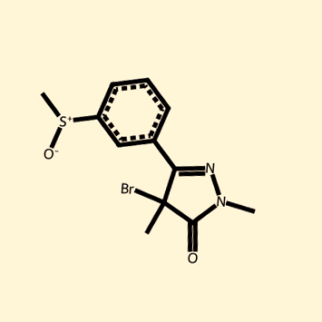 CN1N=C(c2cccc([S+](C)[O-])c2)C(C)(Br)C1=O